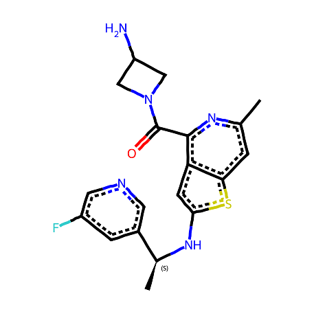 Cc1cc2sc(N[C@@H](C)c3cncc(F)c3)cc2c(C(=O)N2CC(N)C2)n1